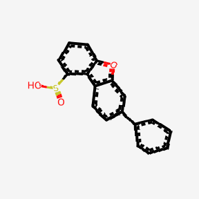 O=S(O)c1cccc2oc3cc(-c4ccccc4)ccc3c12